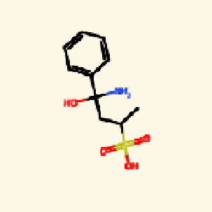 CC(CC(N)(O)c1ccccc1)S(=O)(=O)O